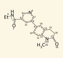 CCNC(=O)c1cncc(-c2ccc3c(c2)CCC(=O)N3C)c1